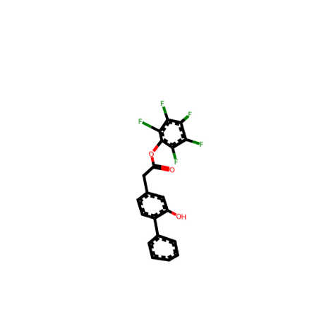 O=C(Cc1ccc(-c2ccccc2)c(O)c1)Oc1c(F)c(F)c(F)c(F)c1F